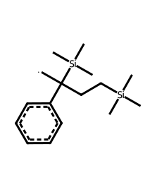 [CH2]C(CC[Si](C)(C)C)(c1ccccc1)[Si](C)(C)C